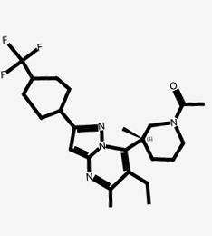 CCc1c(C)nc2cc(C3CCC(C(F)(F)F)CC3)nn2c1[C@@]1(C)CCCN(C(C)=O)C1